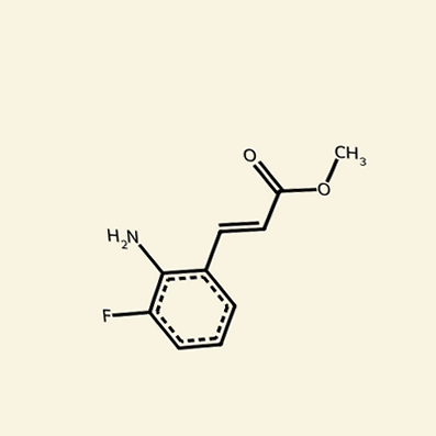 COC(=O)/C=C/c1cccc(F)c1N